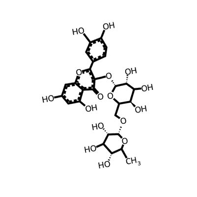 CC1O[C@@H](OCC2O[C@H](Oc3c(-c4ccc(O)c(O)c4)oc4cc(O)cc(O)c4c3=O)[C@H](O)C(O)[C@H]2O)[C@@H](O)C(O)[C@H]1O